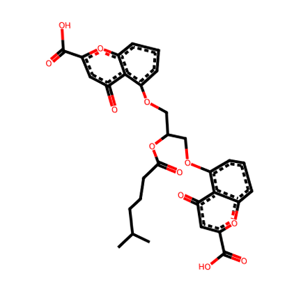 CC(C)CCCC(=O)OC(COc1cccc2oc(C(=O)O)cc(=O)c12)COc1cccc2oc(C(=O)O)cc(=O)c12